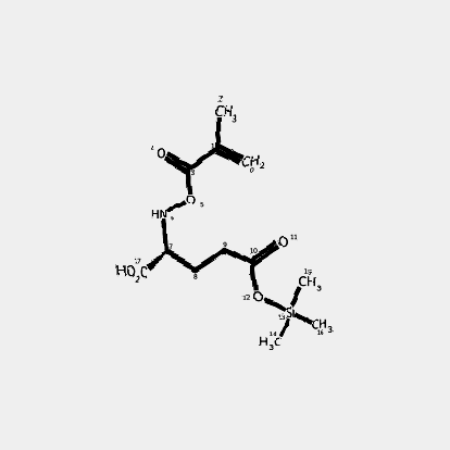 C=C(C)C(=O)ON[C@@H](CCC(=O)O[Si](C)(C)C)C(=O)O